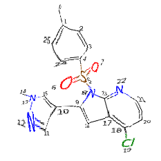 Cc1ccc(S(=O)(=O)n2c(-c3cnn(C)c3)cc3c(Cl)ccnc32)cc1